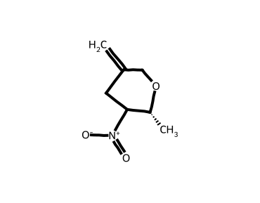 C=C1CO[C@H](C)C([N+](=O)[O-])C1